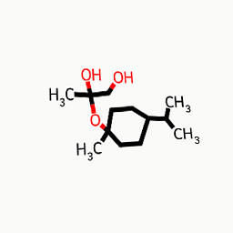 CC(C)C1CCC(C)(OC(C)(O)CO)CC1